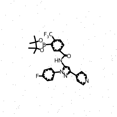 CC1(C)OB(c2cc(C(=O)Nc3cc(-c4ccncc4)nn3-c3ccc(F)cc3)ccc2C(F)(F)F)OC1(C)C